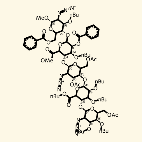 CCCCOC(=O)C1O[C@@H](O[C@@H]2C(COC(C)=O)O[C@H](O[C@@H]3C(C(=O)OC)OC(O[C@@H]4C(COC(=O)c5ccccc5)O[C@H](OC)C(N=[N+]=[N-])[C@H]4OCCCC)[C@@H](OC(=O)c4ccccc4)[C@H]3OCCCC)C(N=[N+]=[N-])[C@H]2OC(C)=O)[C@@H](OCCCC)C(OCCCC)[C@@H]1O[C@H]1OC(COC(C)=O)[C@@H](OCCCC)[C@H](OCCCC)C1N=[N+]=[N-]